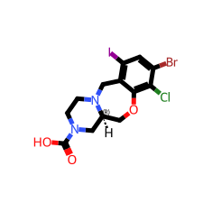 O=C(O)N1CCN2Cc3c(I)cc(Br)c(Cl)c3OC[C@H]2C1